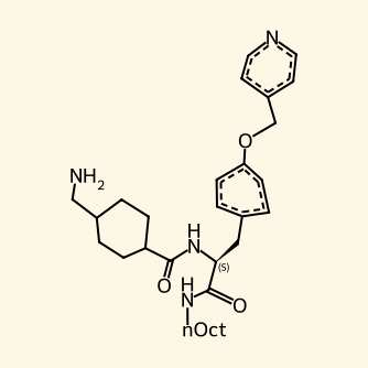 CCCCCCCCNC(=O)[C@H](Cc1ccc(OCc2ccncc2)cc1)NC(=O)C1CCC(CN)CC1